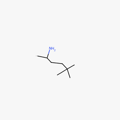 [CH2]C(N)CCC(C)(C)C